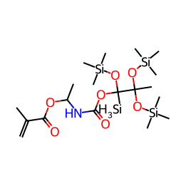 C=C(C)C(=O)OC(C)NC(=O)OC([SiH3])(O[Si](C)(C)C)C(C)(O[Si](C)(C)C)O[Si](C)(C)C